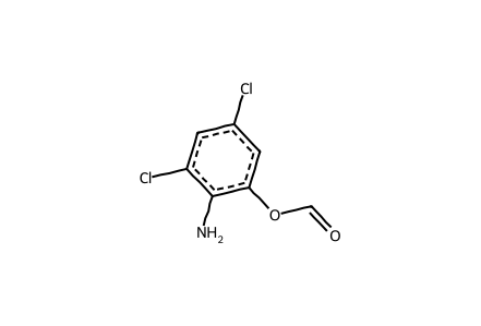 Nc1c(Cl)cc(Cl)cc1OC=O